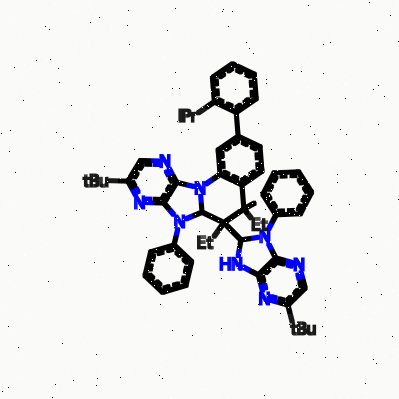 CCC1(C)c2ccc(-c3ccccc3C(C)C)cc2N2c3ncc(C(C)(C)C)nc3N(c3ccccc3)C2C1(CC)C1Nc2nc(C(C)(C)C)cnc2N1c1ccccc1